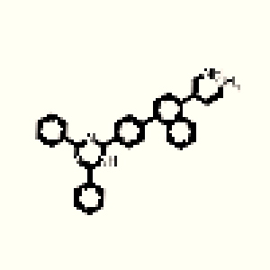 C/C=C\C(=C/N)c1ccc(-c2ccc(C3N=C(c4ccccc4)N=C(c4ccccc4)N3)cc2)c2ccccc12